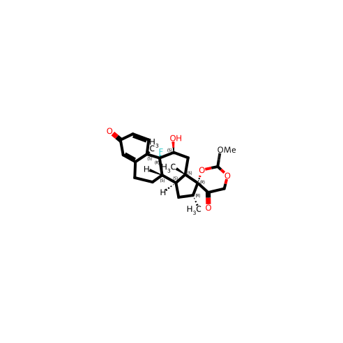 COC1OCC(=O)[C@@]2(O1)[C@H](C)C[C@H]1[C@@H]3CCC4=CC(=O)C=C[C@]4(C)[C@@]3(F)[C@@H](O)C[C@@]12C